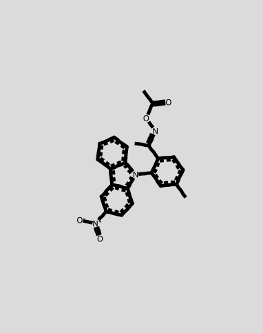 CC(=O)O/N=C(\C)c1ccc(C)cc1-n1c2ccccc2c2cc([N+](=O)[O-])ccc21